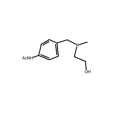 CC(=O)Nc1ccc(CN(C)CCO)cc1